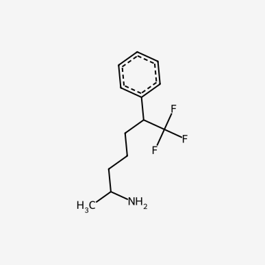 CC(N)CCCC(c1ccccc1)C(F)(F)F